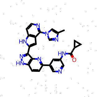 Cc1cn(-c2nccc3[nH]c(-c4n[nH]c5ccc(-c6cncc(NC(=O)C7CC7)c6)nc45)cc23)cn1